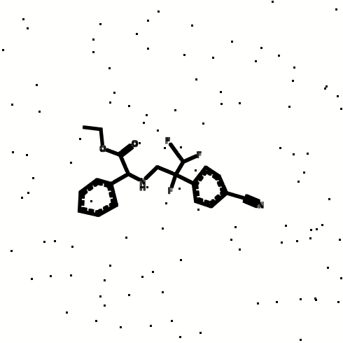 CCOC(=O)C(NCC(F)(c1ccc(C#N)cc1)C(F)F)c1ccccc1